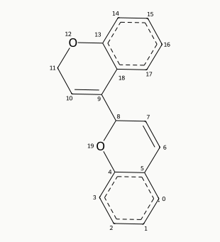 [c]1cccc2c1C=CC(C1=CCOc3ccccc31)O2